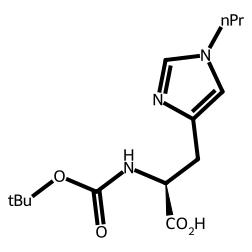 CCCn1cnc(C[C@H](NC(=O)OC(C)(C)C)C(=O)O)c1